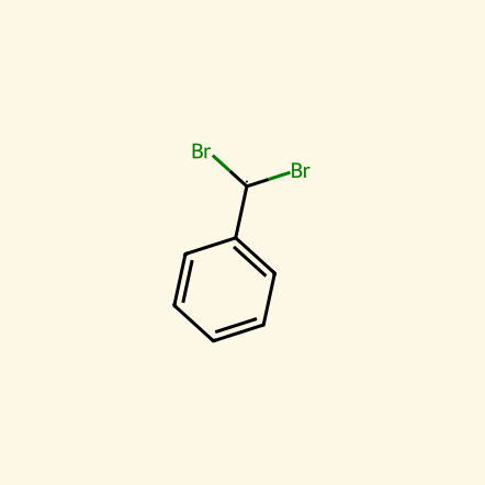 Br[C](Br)c1ccccc1